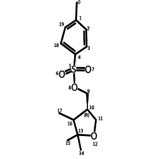 Cc1ccc(S(=O)(=O)OC[C@H]2COC(C)(C)C2C)cc1